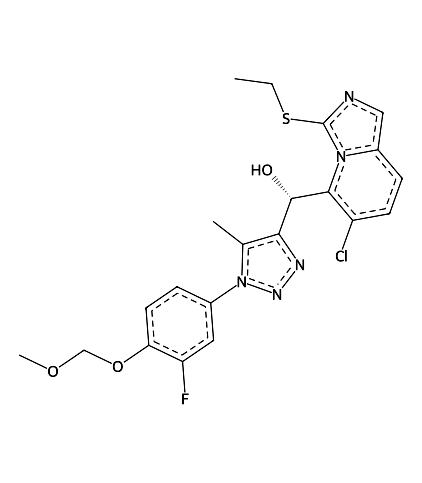 CCSc1ncc2ccc(Cl)c([C@@H](O)c3nnn(-c4ccc(OCOC)c(F)c4)c3C)n12